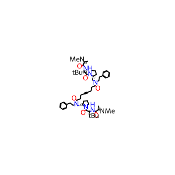 CN[C@@H](C)C(=O)N[C@H](C(=O)N1CCC[C@H]1CN(CCc1ccccc1)C(=O)CCC#CCCC(=O)N(CCc1ccccc1)C[C@@H]1CCCN1C(=O)[C@@H](NC(=O)[C@H](C)NC)C(C)(C)C)C(C)(C)C